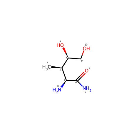 C[C@H]([C@H](N)C(N)=O)[C@@H](O)CO